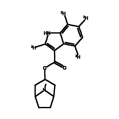 [2H]c1cc([2H])c2c(C(=O)OC3CC4CCC(C3)N4C)c([2H])[nH]c2c1[2H]